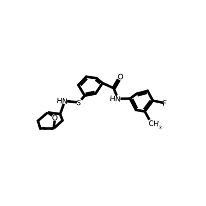 Cc1cc(NC(=O)c2cccc(SNC3CC4CCC3O4)c2)ccc1F